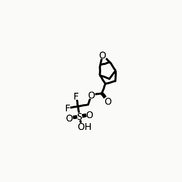 O=C(OCC(F)(F)S(=O)(=O)O)C1CC2CC1C1OC21